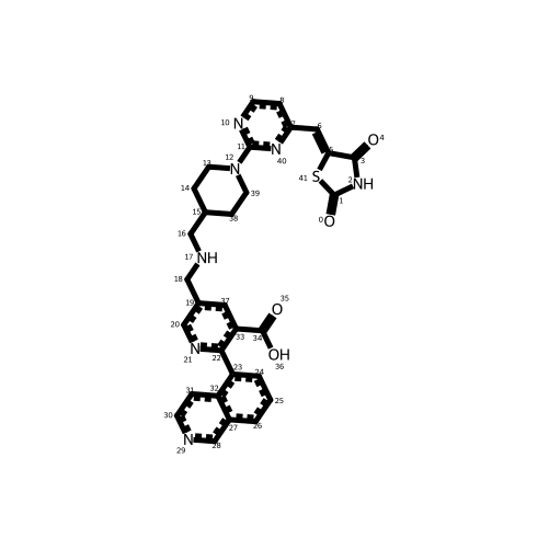 O=C1NC(=O)C(=Cc2ccnc(N3CCC(CNCc4cnc(-c5cccc6cnccc56)c(C(=O)O)c4)CC3)n2)S1